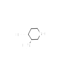 C[C@@H]1CCNC[C@H]1N